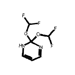 FC(F)OC1(OC(F)F)N=[C]C=CN1